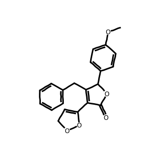 COc1ccc(C2OC(=O)C(C3=CCOO3)=C2Cc2ccccc2)cc1